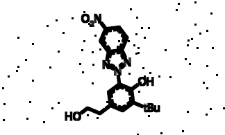 CC(C)(C)c1cc(CCO)cc(-n2nc3ccc([N+](=O)[O-])cc3n2)c1O